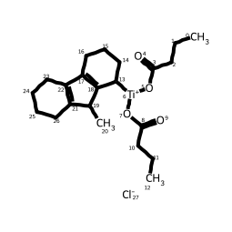 CCCC(=O)[O][Ti+]([O]C(=O)CCC)[CH]1CCCC2=C1C(C)C1=C2CCCC1.[Cl-]